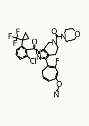 N#COC1=CC(F)=C(c2nn(C(=O)c3c(Cl)cccc3C3(C(F)(F)F)CC3)c3c2CCN(C(=O)N2CCOCC2)C3)CC=C1